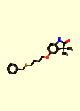 CC1(C)C(=O)Nc2ccc(OCCCCSCc3ccccc3)cc21